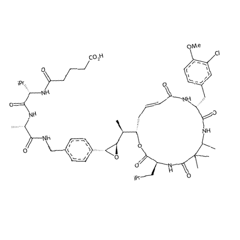 COc1ccc(C[C@H]2NC(=O)/C=C/C[C@@H]([C@H](C)[C@H]3O[C@@H]3c3ccc(CNC(=O)[C@H](C)NC(=O)[C@@H](NC(=O)CCCC(=O)O)C(C)C)cc3)OC(=O)[C@H](CC(C)C)NC(=O)C(C)(C)C(C)NC2=O)cc1Cl